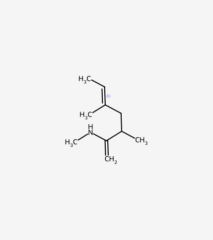 C=C(NC)C(C)C/C(C)=C/C